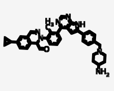 Cc1c(-c2ncnc3[nH]c(-c4ccc(CN5CCC(N)CC5)cc4)cc23)cccc1N1N=Cc2cc(C3CC3)ccc2C1C=O